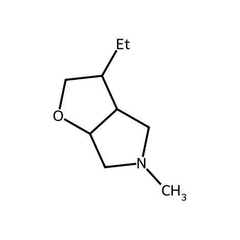 CCC1COC2CN(C)CC12